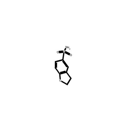 NS(=O)(=O)c1c[c]c2c(c1)CCO2